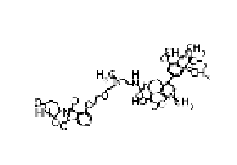 COc1cc(-c2cn(C)c(=O)c3c2CCN(C(=O)NCCN(C)CCOCCOc2cccc4c2C(=O)N(C2CCC(=O)NC2=O)C4=O)C3C(=O)O)cc(OC)c1CN(C)C